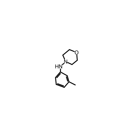 Cc1cccc(NN2CCOCC2)c1